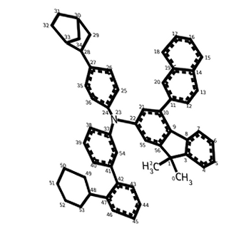 CC1(C)c2ccccc2-c2c(-c3ccc4ccccc4c3)cc(N(c3ccc(C4CC5CCC4C5)cc3)c3cccc(-c4ccccc4C4CCCCC4)c3)cc21